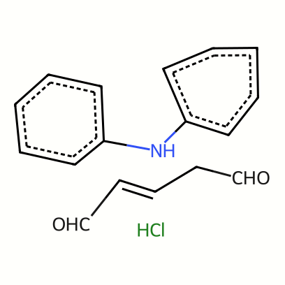 Cl.O=CC=CCC=O.c1ccc(Nc2ccccc2)cc1